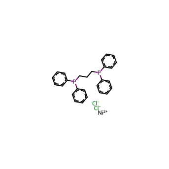 [Cl-].[Cl-].[Ni+2].c1ccc(P(CCCP(c2ccccc2)c2ccccc2)c2ccccc2)cc1